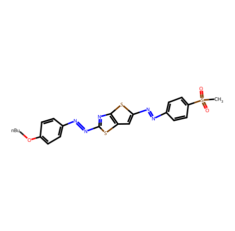 CCCCOc1ccc(N=Nc2nc3sc(N=Nc4ccc(S(C)(=O)=O)cc4)cc3s2)cc1